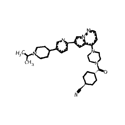 CC(C)N1CCC(c2ccc(-c3cc4c(N5CCN(C(=O)[C@H]6CC[C@H](C#N)CC6)CC5)ccnn4c3)nc2)CC1